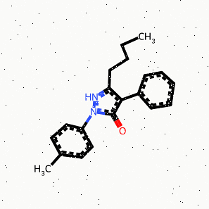 CCCCc1[nH]n(-c2ccc(C)cc2)c(=O)c1-c1ccccc1